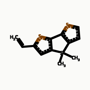 C=Cc1cc2c(s1)-c1sccc1[Si]2(C)C